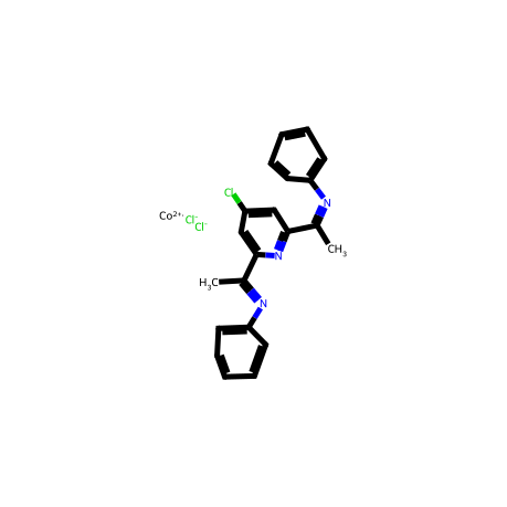 CC(=Nc1ccccc1)c1cc(Cl)cc(C(C)=Nc2ccccc2)n1.[Cl-].[Cl-].[Co+2]